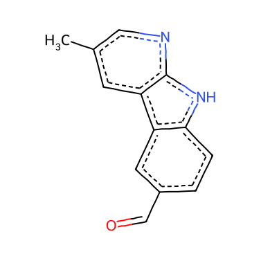 Cc1cnc2[nH]c3ccc(C=O)cc3c2c1